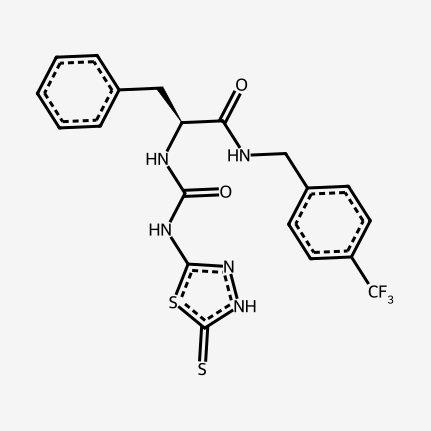 O=C(Nc1n[nH]c(=S)s1)N[C@@H](Cc1ccccc1)C(=O)NCc1ccc(C(F)(F)F)cc1